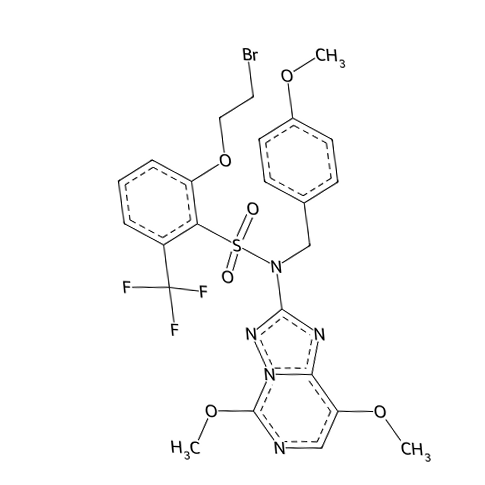 COc1ccc(CN(c2nc3c(OC)cnc(OC)n3n2)S(=O)(=O)c2c(OCCBr)cccc2C(F)(F)F)cc1